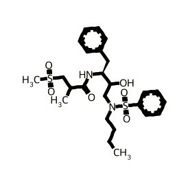 CCCCN(CC(O)[C@H](Cc1ccccc1)NC(=O)C(C)CS(C)(=O)=O)S(=O)(=O)c1ccccc1